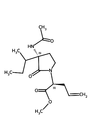 C=CC[C@@H](C(=O)OC)N1CC[C@](NC(C)=O)(C(C)CC)C1=O